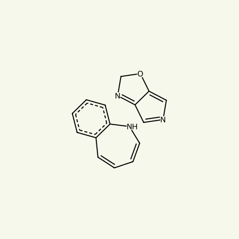 C1=CNc2ccccc2C=C1.C1=NC=C2OCN=C12